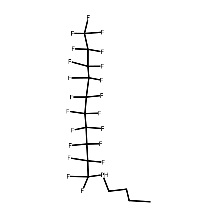 CCCCPC(F)(F)C(F)(F)C(F)(F)C(F)(F)C(F)(F)C(F)(F)C(F)(F)C(F)(F)C(F)(F)C(F)(F)F